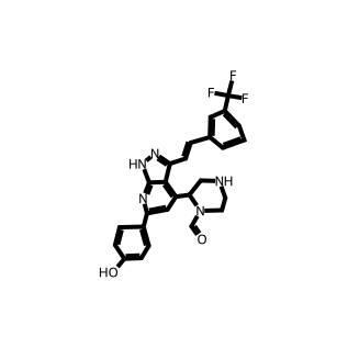 O=CN1CCNCC1c1cc(-c2ccc(O)cc2)nc2[nH]nc(C=Cc3cccc(C(F)(F)F)c3)c12